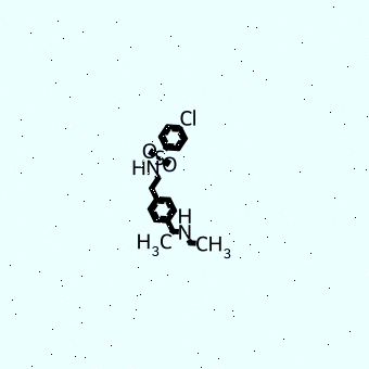 CCNC(C)c1ccc(CCNS(=O)(=O)c2ccc(Cl)cc2)cc1